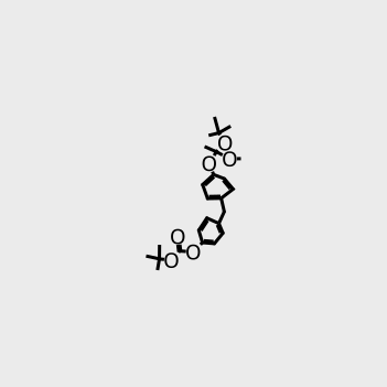 COC(C)(Oc1ccc(Cc2ccc(OC(=O)OC(C)(C)C)cc2)cc1)OC(C)(C)C